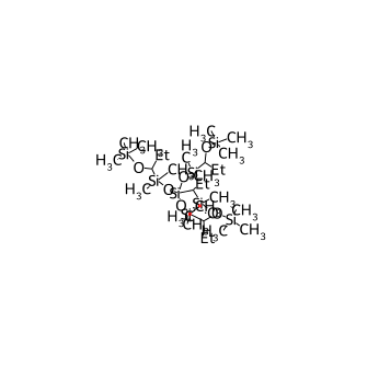 CCC(O[Si](C)(C)C)[Si](C)(C)O[Si](O[Si](C)(C)C(CC)O[Si](C)(C)C)(O[Si](C)(C)C(CC)O[Si](C)(C)C)C(CC)[Si](C)(C)[O]